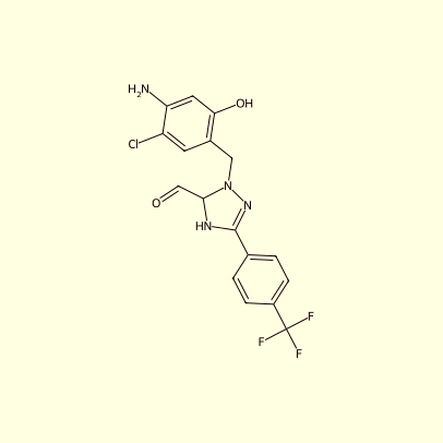 Nc1cc(O)c(CN2N=C(c3ccc(C(F)(F)F)cc3)NC2C=O)cc1Cl